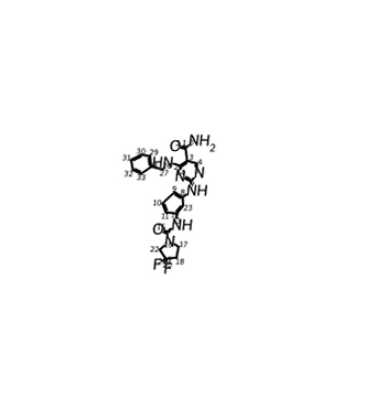 NC(=O)c1cnc(Nc2cccc(NC(=O)N3CCC(F)(F)C3)c2)nc1NCc1ccccc1